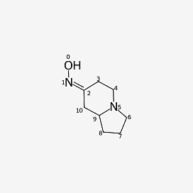 O/N=C1\CCN2CCCC2C1